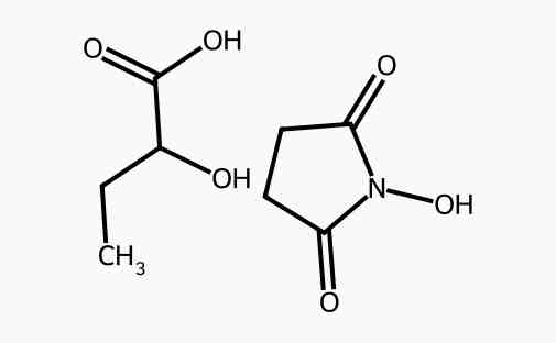 CCC(O)C(=O)O.O=C1CCC(=O)N1O